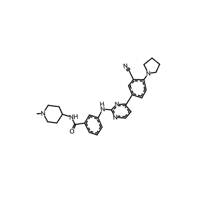 CN1CCC(NC(=O)c2cccc(Nc3nccc(-c4ccc(N5CCCC5)c(C#N)c4)n3)c2)CC1